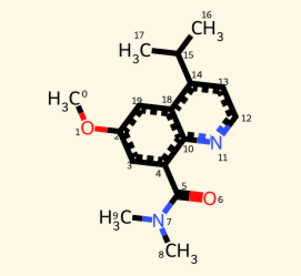 COc1cc(C(=O)N(C)C)c2nccc(C(C)C)c2c1